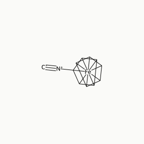 [C-]#[N+][C]12[CH]3[CH]4[CH]5[CH]1[Fe]45321678[CH]2[CH]1[CH]6[CH]7[CH]28